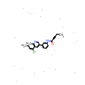 CCC#CC(=O)Nc1cccc(-c2cnc(C)c(/C(Cl)=C\CC)c2)c1